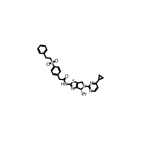 CC(C)[C@@H]1c2nc(NC(=O)Cc3ccc(S(=O)(=O)CCc4ccccc4)cc3)sc2CN1c1nccc(C2CC2)n1